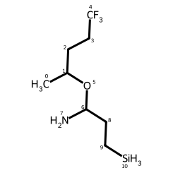 CC(CCC(F)(F)F)OC(N)CC[SiH3]